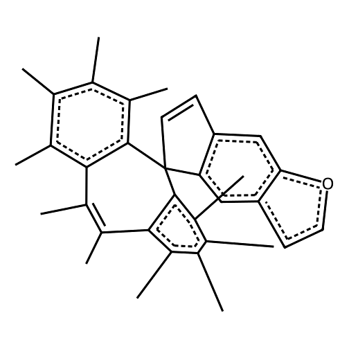 CC1=C(C)c2c(C)c(C)c(C)c(C)c2C2(C=Cc3cc4occc4cc32)c2c(C)c(C)c(C)c(C)c21